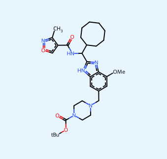 COc1cc(CN2CCN(C(=O)OC(C)(C)C)CC2)cc2[nH]c(C(NC(=O)c3conc3C)C3CCCCCCC3)nc12